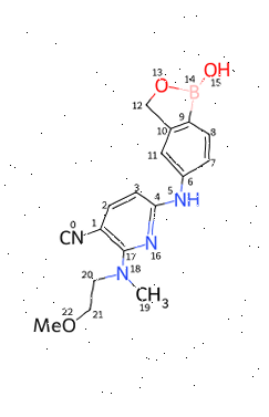 [C-]#[N+]c1ccc(Nc2ccc3c(c2)COB3O)nc1N(C)CCOC